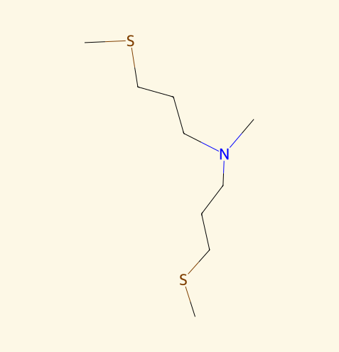 CSCCCN(C)CCCSC